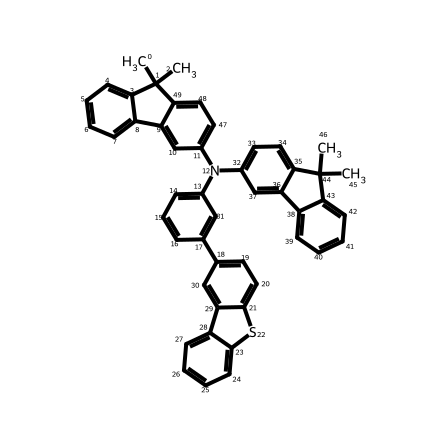 CC1(C)c2ccccc2-c2cc(N(c3cccc(-c4ccc5sc6ccccc6c5c4)c3)c3ccc4c(c3)-c3ccccc3C4(C)C)ccc21